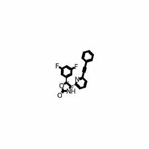 O=C1N[C@@H](c2cccc(C#Cc3ccccc3)n2)[C@H](c2cc(F)cc(F)c2)O1